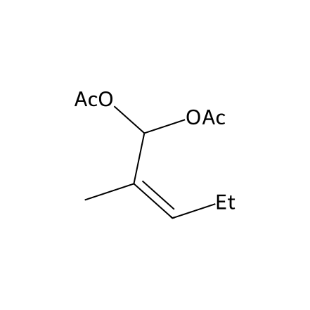 CCC=C(C)C(OC(C)=O)OC(C)=O